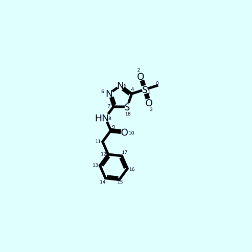 CS(=O)(=O)c1nnc(NC(=O)Cc2ccccc2)s1